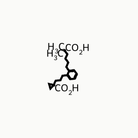 CC(C)(CCCCc1ccccc1CCCC1(C(=O)O)CC1)C(=O)O